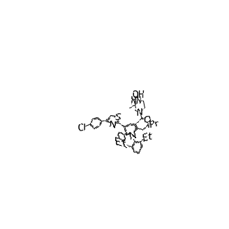 CCc1cccc(CC)c1-n1c(CC(C)C)c(C(=O)N2CCNC(C)(CO)C2)cc(-c2nc(-c3ccc(Cl)cc3)cs2)c1=O